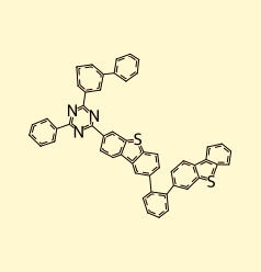 c1ccc(-c2cccc(-c3nc(-c4ccccc4)nc(-c4ccc5c(c4)sc4ccc(-c6ccccc6-c6ccc7c(c6)sc6ccccc67)cc45)n3)c2)cc1